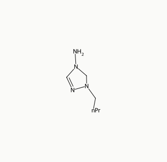 CCCCN1CN(N)C=N1